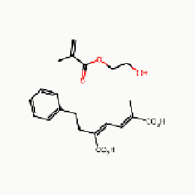 C=C(C)C(=O)OCCO.CC(=CC=C(CCc1ccccc1)C(=O)O)C(=O)O